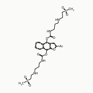 CC(=O)c1cc2c(OC(=O)NCCCNCCS(C)(=O)=O)c3ccccc3c(OC(=O)NCCCNCCS(C)(=O)=O)c2o1